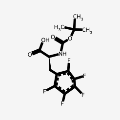 CC(C)(C)OC(=O)N[C@@H](Cc1c(F)c(F)c(F)c(F)c1F)C(=O)O